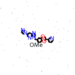 COc1cc(Cn2cnc3cc(-n4ccnc4)cnc32)cc2c1OC(c1cccnc1)CO2